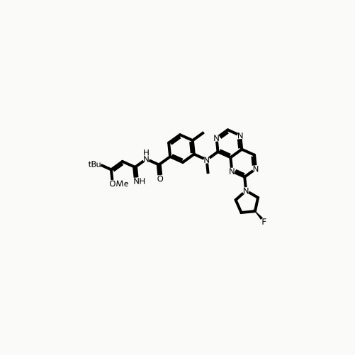 CO/C(=C\C(=N)NC(=O)c1ccc(C)c(N(C)c2ncnc3cnc(N4CC[C@H](F)C4)nc23)c1)C(C)(C)C